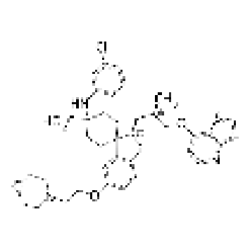 C[C@@H](COc1ccnc2ccsc12)C[C@H]1Cc2ccc(OCCN3CCOCC3)cc2C12CCC(Nc1cccc(Cl)c1)(C(=O)O)CC2